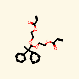 C=CC(=O)OCCOC(OCCOC(=O)C=C)C(C)(c1ccccc1)c1ccccc1